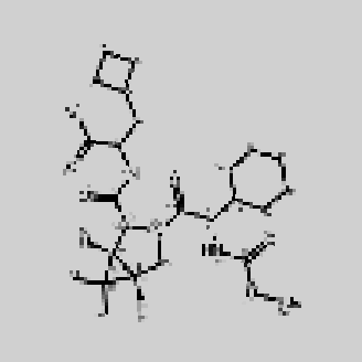 CC(=O)C(=O)C(CC1CCC1)NC(=O)[C@@H]1[C@@H]2[C@H](CN1C(=O)[C@@H](NC(=O)OC(C)(C)C)C1CCCCC1)C2(C)C